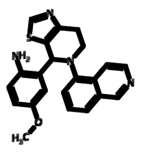 COc1ccc(N)c(C2c3scnc3CCN2c2cccc3cnccc23)c1